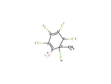 BC1=C(F)C(F)=C(F)C(F)C1(C)F